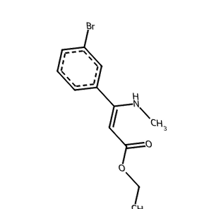 CCOC(=O)C=C(NC)c1cccc(Br)c1